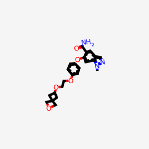 Cn1ncc2cc(C(N)=O)c(Oc3ccc(OCCOC4CC5(COC5)C4)cc3)cc21